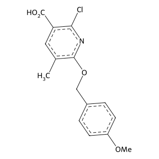 COc1ccc(COc2nc(Cl)c(C(=O)O)cc2C)cc1